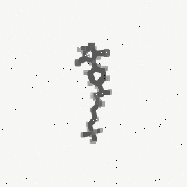 C/C(=N\OCCC[N+](C)(C)C)c1ccc(N2C(=O)N=NC2=O)cc1